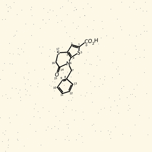 O=C(O)c1cc2c(s1)N(Cc1ccccc1)C(=O)CS2